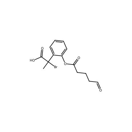 CC(Br)(C(=O)O)c1ccccc1OC(=O)CCCC=O